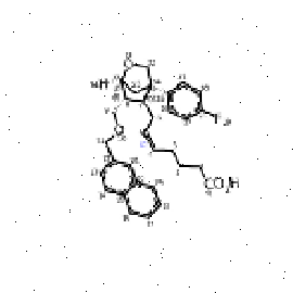 O=C(O)CCC/C=C\C[C@H]1[C@H](COCc2ccc3ccccc3c2)[C@@H]2C[C@@]1(c1ccc(F)cc1)CO2